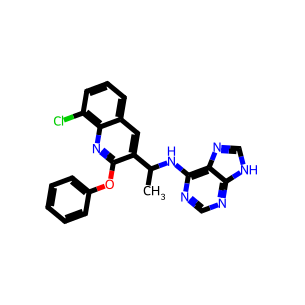 CC(Nc1ncnc2[nH]cnc12)c1cc2cccc(Cl)c2nc1Oc1ccccc1